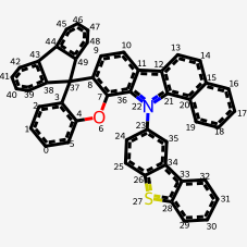 c1ccc2c(c1)Oc1c(ccc3c4ccc5ccccc5c4n(-c4ccc5sc6ccccc6c5c4)c13)C21c2ccccc2-c2ccccc21